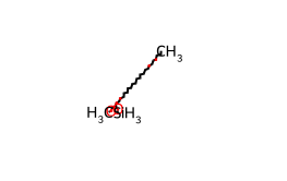 CCCCCCCCCCCCCCCCCCCCCCCC(COC)O[SiH3]